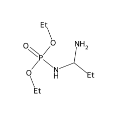 CCOP(=O)(NC(N)CC)OCC